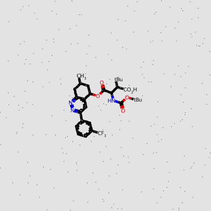 CC1Cc2nnc(-c3cccc(C(F)(F)F)c3)cc2C(OC(=O)C(NC(=O)OC(C)(C)C)C(C(=O)O)C(C)(C)C)C1